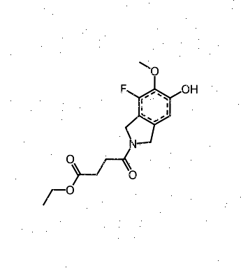 CCOC(=O)CCC(=O)N1Cc2cc(O)c(OC)c(F)c2C1